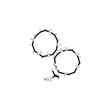 C1CCCCCCCCCCCCCC1.C1CCCCCCCCCCCCCC1.C=C(C)C(=O)O